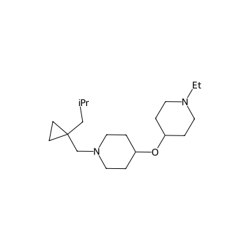 CCN1CCC(OC2CCN(CC3(CC(C)C)CC3)CC2)CC1